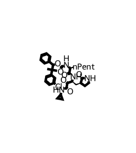 CCCCC[C@H](NC(=O)OC(c1ccccc1)C(C)(C)c1cccc(Cl)c1)C(=O)N[C@@H](C[C@@H]1CCNC1=O)C(=O)C(=O)NC1CC1